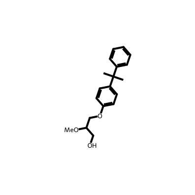 COC(CO)COc1ccc(C(C)(C)c2ccccc2)cc1